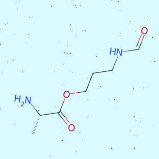 C[C@H](N)C(=O)OCCCNC=O